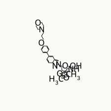 C[C@@](CCn1cc2cc(-c3ccc(OCCCN4CCOCC4)cc3)ccc2n1)(C(=O)NO)S(C)(=O)=O